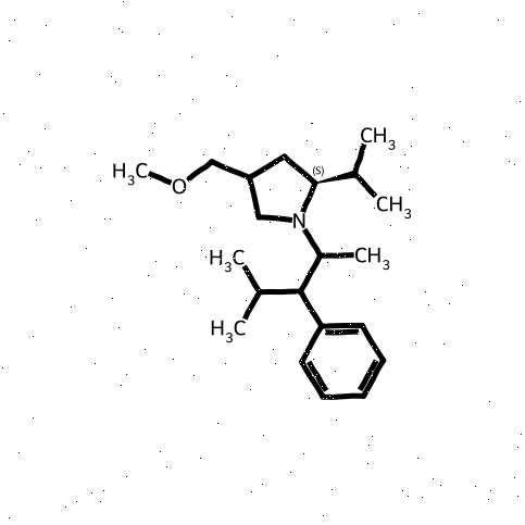 COCC1C[C@@H](C(C)C)N(C(C)C(c2ccccc2)C(C)C)C1